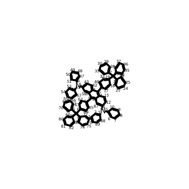 c1ccc(N(c2ccccc2)c2ccc3c(-c4ccc(C(c5ccccc5)(c5ccccc5)c5ccccc5)cc4)c4ccc(N(c5ccccc5)c5ccccc5)cc4c(-c4ccc(C(c5ccccc5)(c5ccccc5)c5ccccc5)cc4)c3c2)cc1